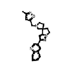 Cc1cc(CN2CCC3(CCn4nc(-c5cnc6ccccc6c5)cc43)C2)on1